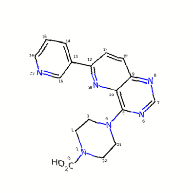 O=C(O)N1CCN(c2ncnc3ccc(-c4cccnc4)nc23)CC1